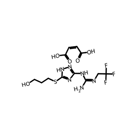 N/C(=N/CC(F)(F)F)Nc1n[nH]c(SCCCO)n1.O=C(O)/C=C\C(=O)O